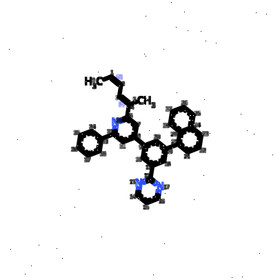 C/C=C\C=C(/C)c1cc(-c2cc(-c3ncccn3)cc(-c3cccc4ccccc34)c2)cc(-c2ccccc2)n1